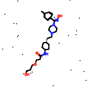 Cc1ccc(/C(=N\O)N2CCN(CC[C@H]3CC[C@H](NC(=O)CCOCCCO)CC3)CC2)cc1